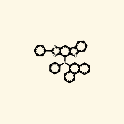 c1ccc(-c2nc3cc4c(oc5ccccc54)c(N(c4ccccc4)c4cc5ccccc5c5ccccc45)c3o2)cc1